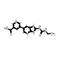 CCNC(=O)Nc1nc2cc(-c3cncc(C(=O)O)c3)cnc2s1